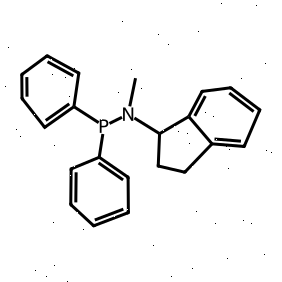 CN(C1CCc2ccccc21)P(c1ccccc1)c1ccccc1